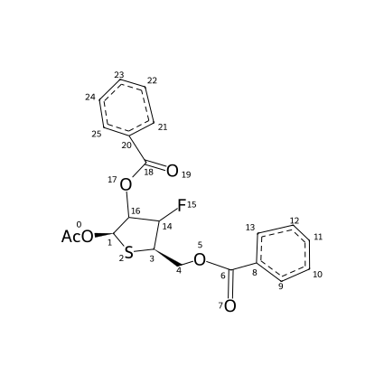 CC(=O)O[C@@H]1S[C@H](COC(=O)c2ccccc2)C(F)C1OC(=O)c1ccccc1